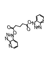 O=C(CCCC(=O)On1nnc2ncccc21)On1nnc2ncccc21